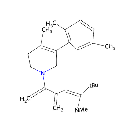 C=C(/C=C(\NC)C(C)(C)C)C(=C)N1CCC(C)=C(c2cc(C)ccc2C)C1